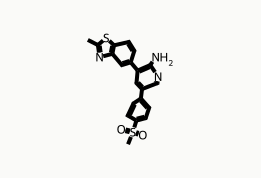 Cc1nc2cc(-c3cc(-c4ccc(S(C)(=O)=O)cc4)cnc3N)ccc2s1